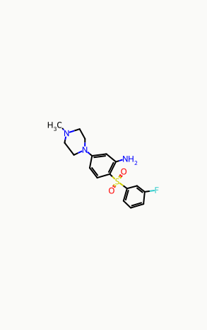 CN1CCN(c2ccc(S(=O)(=O)c3cccc(F)c3)c(N)c2)CC1